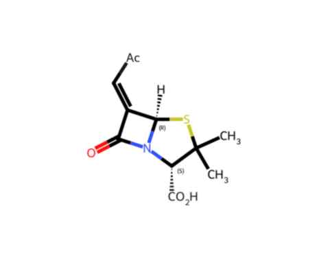 CC(=O)C=C1C(=O)N2[C@@H]1SC(C)(C)[C@@H]2C(=O)O